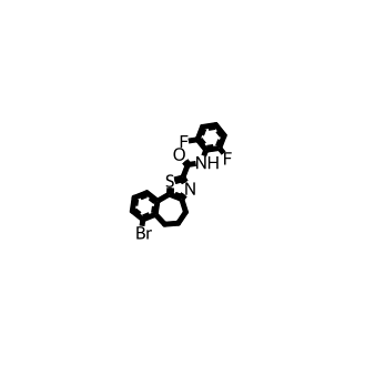 O=C(Nc1c(F)cccc1F)c1nc2c(s1)-c1cccc(Br)c1CCC2